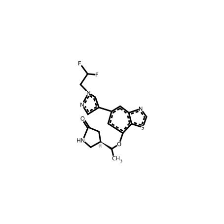 CC(Oc1cc(-c2cnn(CC(F)F)c2)cc2ncsc12)[C@H]1CNC(=O)C1